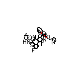 CN1CCC[C@H]1COc1nc(N2CC3CCC(C2)N3C(=O)OC(C)(C)C)c2cc(Cl)c(-c3ccc(F)c4sc(NC(=O)OC(C)(C)C)c(C#N)c34)c(F)c2n1